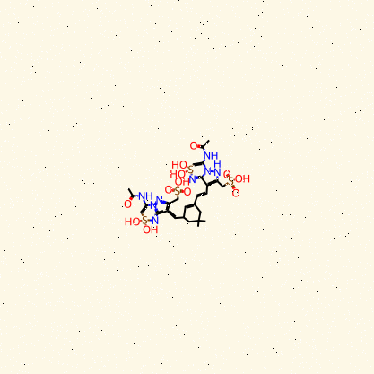 CC(=O)NC1=CS(O)(O)N=C2C(C=CC3=CC(C=c4c(CS(=O)(=O)O)nn5c4=NS(O)(O)C=C5NC(C)=O)CC(C)(C)C3)=C(CS(=O)(=O)O)NN12